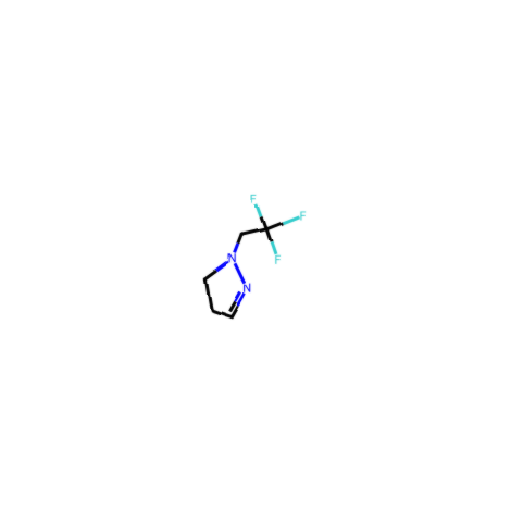 FC(F)(F)CN1CCC=N1